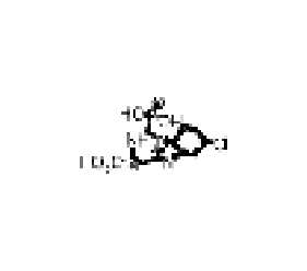 N[C@H](Cc1nc2cc(Cl)ccc2n1CP(=O)(O)O)C(=O)O